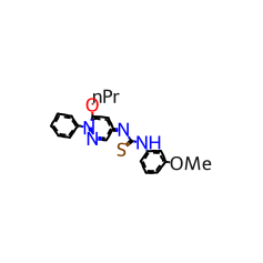 CCCOc1c/c(=N/C(=S)Nc2cccc(OC)c2)cnn1-c1ccccc1